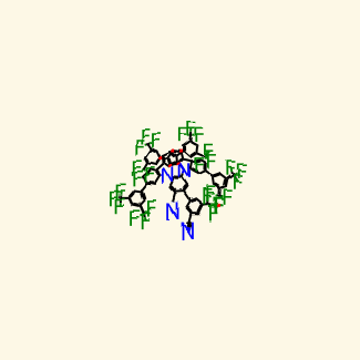 N#Cc1cc(-c2cc(-n3c4cc(-c5cc(C(F)(F)F)cc(C(F)(F)F)c5)ccc4c4ccc(-c5cc(C(F)(F)F)cc(C(F)(F)F)c5)cc43)c(-n3c4cc(-c5cc(C(F)(F)F)cc(C(F)(F)F)c5)ccc4c4ccc(-c5cc(C(F)(F)F)cc(C(F)(F)F)c5)cc43)cc2C#N)cc(C(F)(F)F)c1